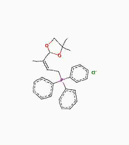 CC(=CC[P+](c1ccccc1)(c1ccccc1)c1ccccc1)C1OCC(C)(C)O1.[Cl-]